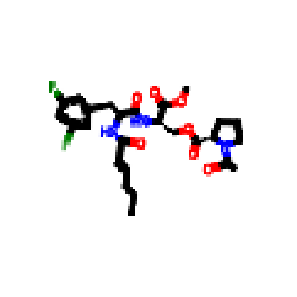 CCC/C=C/C(=O)N[C@@H](Cc1cc(F)cc(F)c1)C(=O)N[C@@H](COC(=O)[C@@H]1CCCN1C(C)=O)C(=O)OC